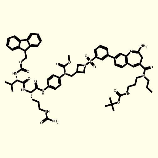 CCCN(CCCNC(=O)OC(C)(C)C)C(=O)C1=Cc2ccc(-c3cccc(S(=O)(=O)N4CC(CN(C(=O)OC)c5ccc(NC(=O)[C@H](CCCNC(N)=O)NC(=O)[C@@H](NC(=O)OCC6c7ccccc7-c7ccccc76)C(C)C)cc5)C4)c3)cc2N=C(N)C1